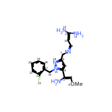 CO/C=C(\N)c1cc(C/N=C\C=C(N)N)nn1Cc1ccccc1F